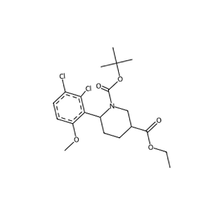 CCOC(=O)C1CCC(c2c(OC)ccc(Cl)c2Cl)N(C(=O)OC(C)(C)C)C1